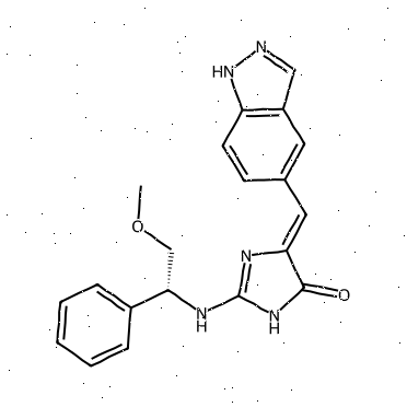 COC[C@H](NC1=N/C(=C\c2ccc3[nH]ncc3c2)C(=O)N1)c1ccccc1